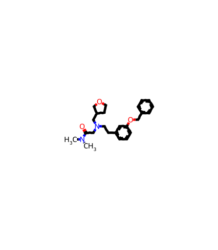 CN(C)C(=O)CN(CCc1cccc(OCc2ccccc2)c1)CC1CCOC1